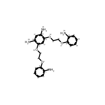 Nc1ccccc1OCCOc1cc(OCCOc2ccccc2N)c(N)cc1N